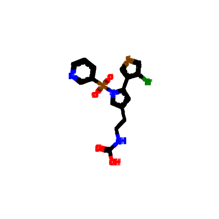 O=C(O)NCCc1cc(-c2cscc2Br)n(S(=O)(=O)c2cccnc2)c1